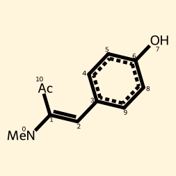 CN/C(=C/c1ccc(O)cc1)C(C)=O